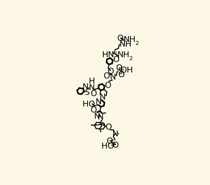 Cc1c(-c2ccc(N3CCc4c(OCCN(CCS(=O)(=O)O)C(=O)OCc5ccc(N[C@@H](CCCNC(N)=O)C(N)=O)cc5)ccc(C(=O)Nc5nc6ccccc6s5)c4C3)nc2C(=O)O)cnn1CC12CC3(C)CC(C)(C1)CC(OCCN(C)CCS(=O)(=O)O)(C3)C2